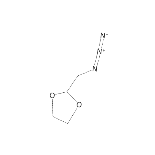 [N-]=[N+]=NCC1OCCO1